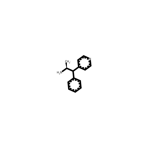 [CH2][C@H](N)C(c1ccccc1)c1ccncc1